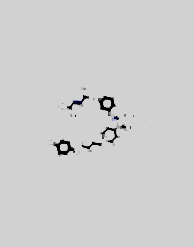 CS/C(=N\c1ccccc1)N(C)C1CCN(CCCCOc2ccc(F)cc2)CC1.O=C(O)/C=C/C(=O)O